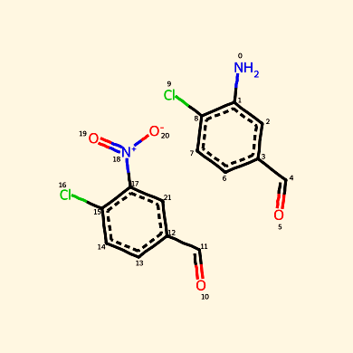 Nc1cc(C=O)ccc1Cl.O=Cc1ccc(Cl)c([N+](=O)[O-])c1